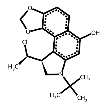 C[C@@H](Cl)[C@@H]1CN(C(C)(C)C)c2cc(O)c3ccc4c(c3c21)OCO4